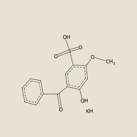 COc1cc(O)c(C(=O)c2ccccc2)cc1S(=O)(=O)O.[KH]